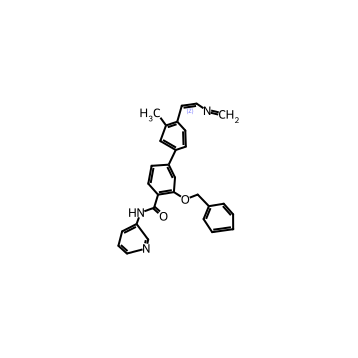 C=N/C=C\c1ccc(-c2ccc(C(=O)Nc3cccnc3)c(OCc3ccccc3)c2)cc1C